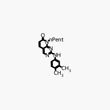 CCCCCn1c(=O)ccc2cnc(Nc3ccc(C)c(C)c3)nc21